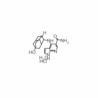 Cl.NC(=O)c1cnc2[nH]ccc2c1NC1C2CC3C[C@H]1CC(O)(C3)C2.O